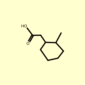 CC1CCCCC1CC(=O)O